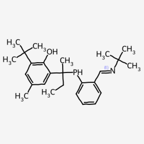 CCC(C)(Pc1ccccc1/C=N/C(C)(C)C)c1cc(C)cc(C(C)(C)C)c1O